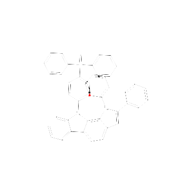 O=P(c1ccccc1)(c1ccccc1)c1ccc(-n2c3ccccc3c3ccc4cc(-c5ccccc5)n(-c5ccccc5)c4c32)cc1